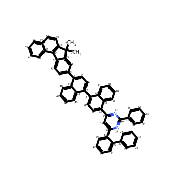 CC1(C)c2cc(-c3ccc(-c4ccc(-c5cc(-c6ccccc6-c6ccccc6)nc(-c6ccccc6)n5)c5ccccc45)c4ccccc34)ccc2-c2c1ccc1ccccc21